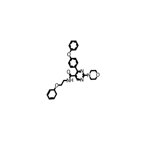 O=C(NCCOC1C=CC=CC1)c1cnc(N2CCOCC2)nc1-c1ccc(Oc2ccccc2)cc1